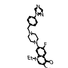 CCn1cc(C(=O)O)c(=O)c2cc(F)c(N3CCN(Cc4ccc(-n5cncn5)cc4)CC3)cc21